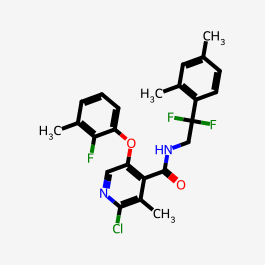 Cc1ccc(C(F)(F)CNC(=O)c2c(Oc3cccc(C)c3F)cnc(Cl)c2C)c(C)c1